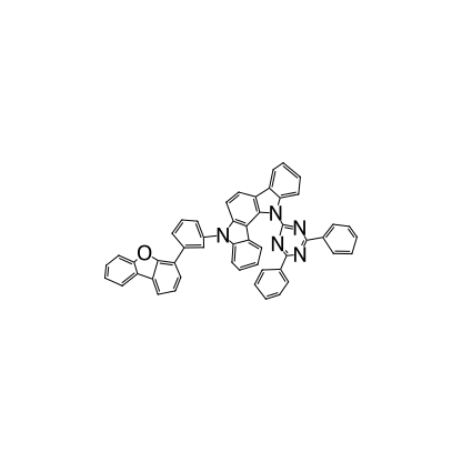 c1ccc(-c2nc(-c3ccccc3)nc(-n3c4ccccc4c4ccc5c(c6ccccc6n5-c5cccc(-c6cccc7c6oc6ccccc67)c5)c43)n2)cc1